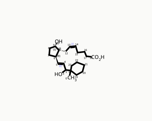 CC1(C(O)/C=C/[C@H]2CC[C@H](O)[C@@H]2C/C=C\CCCC(=O)O)CCCCC1